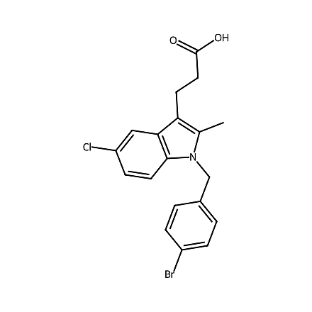 Cc1c(CCC(=O)O)c2cc(Cl)ccc2n1Cc1ccc(Br)cc1